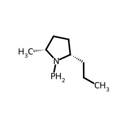 CCC[C@H]1CC[C@@H](C)N1P